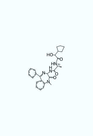 C[C@H](NC(=O)C(O)C1CCCC1)C(=O)NC1N=C(c2ccccc2)c2ccccc2N(C)C1=O